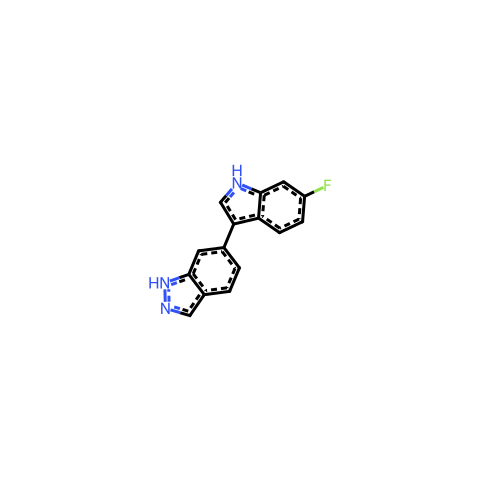 Fc1ccc2c(-c3ccc4cn[nH]c4c3)c[nH]c2c1